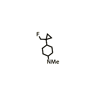 CNC1CCC(C2(CF)CC2)CC1